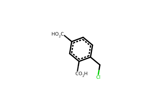 O=C(O)c1ccc(CCl)c(C(=O)O)c1